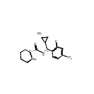 Cl.O=C(N[C@@H](c1ccc(C(F)(F)F)cc1F)C1CC1)[C@H]1CCCCN1